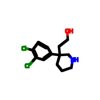 OCCC1(c2ccc(Cl)c(Cl)c2)CCCNC1